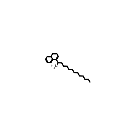 CCCCCCCCCCCCC(N)c1cccc2ccccc12